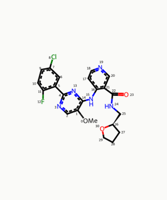 COc1cnc(-c2cc(Cl)ccc2F)nc1Nc1ccncc1C(=O)NC[C@H]1CCCO1